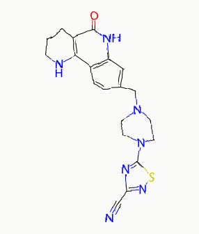 N#Cc1nsc(N2CCN(Cc3ccc4c5c(c(=O)[nH]c4c3)CCCN5)CC2)n1